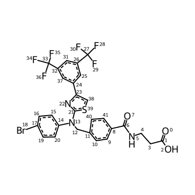 O=C(O)CCNC(=O)c1ccc(CN(c2ccc(Br)cc2)c2nc(-c3cc(C(F)(F)F)cc(C(F)(F)F)c3)cs2)cc1